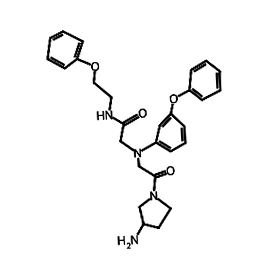 NC1CCN(C(=O)CN(CC(=O)NCCOc2ccccc2)c2cccc(Oc3ccccc3)c2)C1